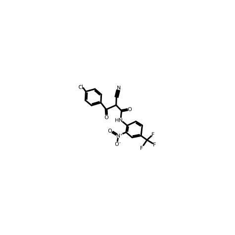 N#CC(C(=O)Nc1ccc(C(F)(F)F)cc1[N+](=O)[O-])C(=O)c1ccc(Cl)cc1